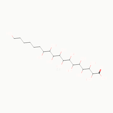 O=C(O)C(O)C(O)C(O)C(O)C(O)C(O)C(O)C(O)C(O)C(O)C(O)CCCCCCO.[AlH3]